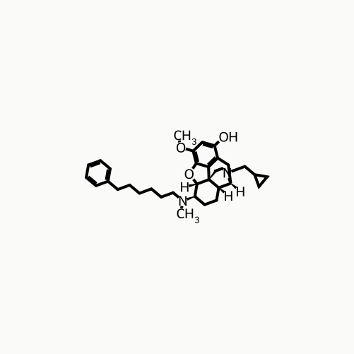 COc1cc(O)c2c3c1O[C@H]1[C@H](N(C)CCCCCCc4ccccc4)CC[C@H]4[C@@H](C2)N(CC2CC2)CC[C@@]341